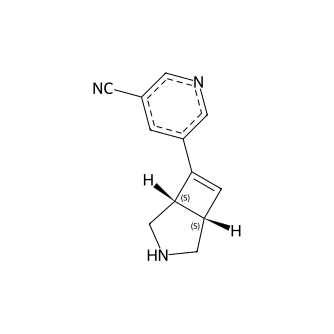 N#Cc1cncc(C2=C[C@@H]3CNC[C@H]23)c1